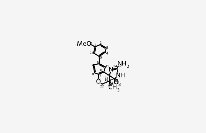 COc1cccc(-c2ccc3c(c2)C2(N=C(N)NC2=O)C(C)(C)CO3)c1